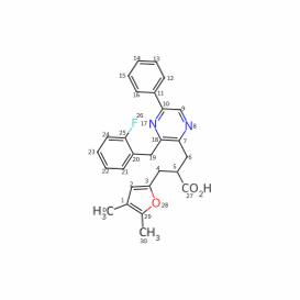 Cc1cc(CC(Cc2ncc(-c3ccccc3)nc2Cc2ccccc2F)C(=O)O)oc1C